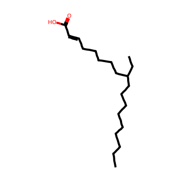 CCCCCCCCCC(CC)CCCCCC=CC(=O)O